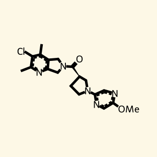 COc1cnc(N2CC[C@@H](C(=O)N3Cc4nc(C)c(Cl)c(C)c4C3)C2)cn1